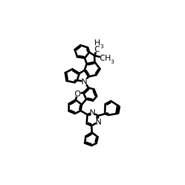 CC1(C)c2ccccc2-c2c1ccc1c2c2ccccc2n1-c1cccc2c1oc1cccc(-c3cc(-c4ccccc4)nc(-c4cc#ccc4)n3)c12